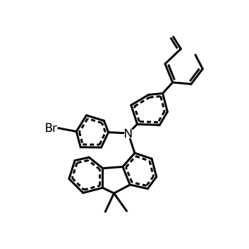 C=C/C=C(\C=C/C)c1ccc(N(c2ccc(Br)cc2)c2cccc3c2-c2ccccc2C3(C)C)cc1